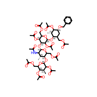 CC(=O)NC1[C@H](O[C@@H]2C(OC(C)=O)[C@H](O[C@@H]3C(COC(C)=O)C[C@@H](OCc4ccccc4)C(OC(C)=O)[C@H]3C)OC(COC(C)=O)[C@@H]2OC(C)=O)OC(COC(C)=O)[C@@H](O[C@@H]2OC(COC(C)=O)[C@H](OC(C)=O)[C@H](C)C2OC(C)=O)[C@@H]1C